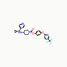 O=C(Oc1ccc(Oc2ccc(C(F)(F)F)cn2)cc1)N1CCC(NC(c2ccncc2)C2CC2)CC1